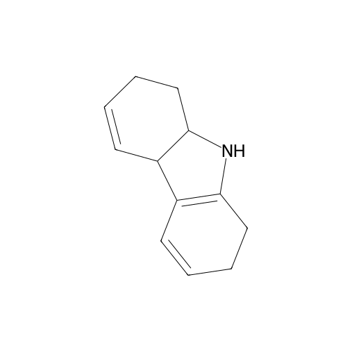 C1=CC2=C(CC1)NC1CCC=CC21